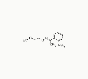 CCOCCO/N=C(\C)c1ccccc1N